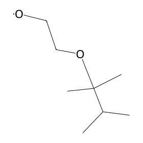 CC(C)C(C)(C)OCC[O]